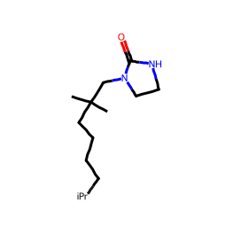 CC(C)CCCCC(C)(C)CN1CCNC1=O